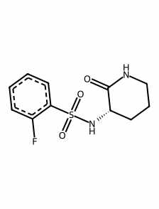 O=C1NCCC[C@@H]1NS(=O)(=O)c1ccccc1F